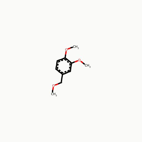 CO[CH]c1ccc(OC)c(OC)c1